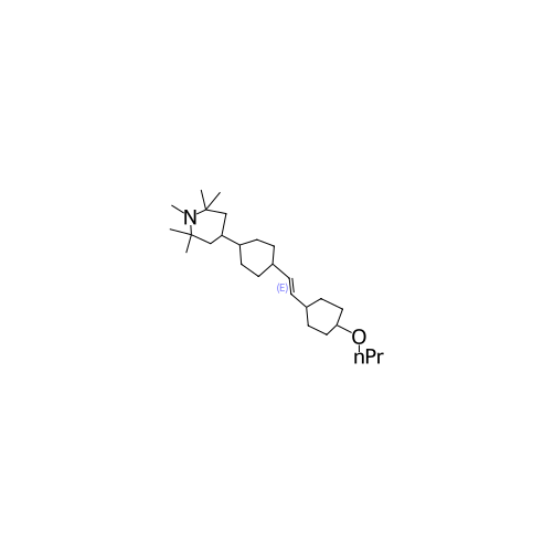 CCCOC1CCC(/C=C/C2CCC(C3CC(C)(C)N(C)C(C)(C)C3)CC2)CC1